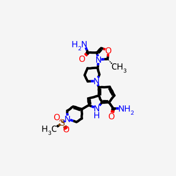 C[C@H]1OC=C(C(N)=O)N1C1CCCN(c2ccc(C(N)=O)c3[nH]c(C4=CCN(S(C)(=O)=O)CC4)cc23)C1